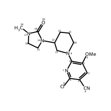 COc1cc(C#N)c(Cl)nc1N1CCCC(N2CCN(C)C2=O)C1